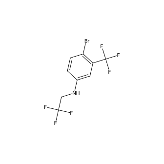 FC(F)(F)CNc1ccc(Br)c(C(F)(F)F)c1